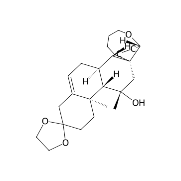 C[C@]1(O)C[C@]23CCCCO[C@H]2CC[C@H]3[C@@H]2CC=C3CC4(CC[C@]3(C)[C@H]21)OCCO4